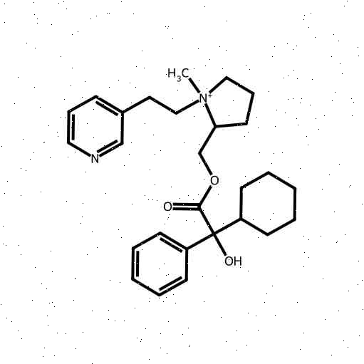 C[N+]1(CCc2cccnc2)CCCC1COC(=O)C(O)(c1ccccc1)C1CCCCC1